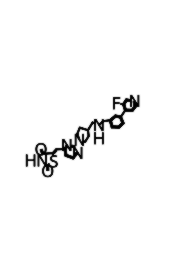 O=C1NC(=O)/C(=C/c2ccnc(N3CCC(CNCc4cccc(-c5ccncc5F)c4)CC3)n2)S1